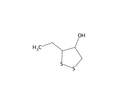 CCC1SSCC1O